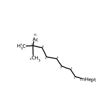 CCCCCCCCCCCCCC(C)(C)C(C)=O